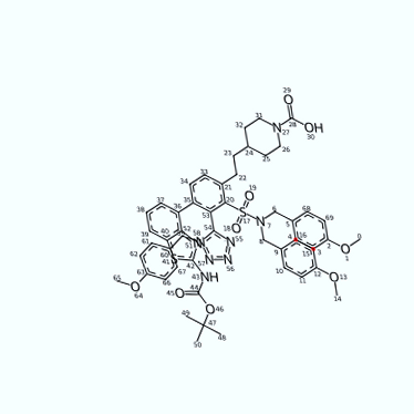 COc1ccc(CN(Cc2ccc(OC)cc2)S(=O)(=O)c2c(CCC3CCN(C(=O)O)CC3)ccc(-c3cccc4sc(NC(=O)OC(C)(C)C)nc34)c2-c2nnnn2Cc2ccc(OC)cc2)cc1